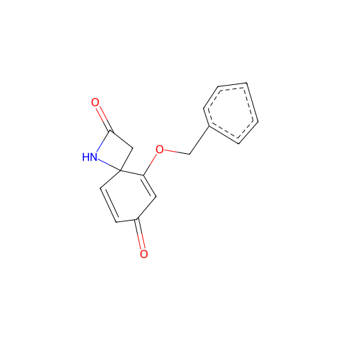 O=C1C=CC2(CC(=O)N2)C(OCc2ccccc2)=C1